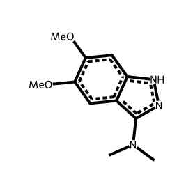 COc1cc2[nH]nc(N(C)C)c2cc1OC